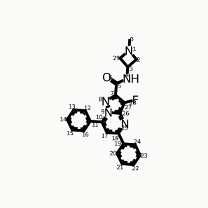 CN1CC(NC(=O)c2nn3c(-c4ccccc4)cc(-c4ccccc4)nc3c2F)C1